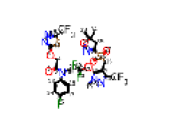 CC(C)N(C(=O)COc1nnc(C(F)(F)F)s1)c1ccc(F)cc1.Cn1nc(C(F)(F)F)c(CS(=O)(=O)C2=NOC(C)(C)C2)c1OC(F)F